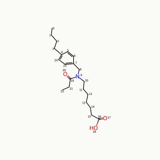 CCCCc1ccc(CN(CCCCCCC(=O)O)C(=O)CC)cc1